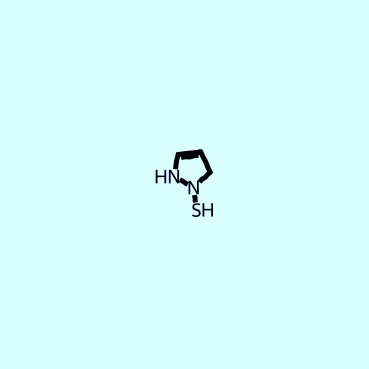 SN1CC=CN1